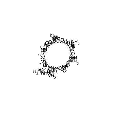 CCCC[C@@H]1NC(=O)[C@H](CO)NC(=O)[C@H](Cc2c[nH]c3ccccc23)NC(=O)CN(C)C(=O)[C@H](CC(C)C)NC(=O)[C@H](Cc2cncn2N)NC(=O)[C@@H]2CCCN2C(=O)[C@H](CC(N)=O)NC(=O)[C@H](C)N(C)C(=O)[C@H](Cc2ccccc2)NC(=O)CSC[C@@H](C(=O)NCC(N)=O)NC(=O)[C@H](CCCNC(=N)N)NC(=O)[C@H](CCCC)N(C)C(=O)[C@H](CCCC)N(C)C1=O